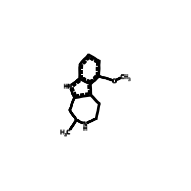 COc1cccc2[nH]c3c(c12)CCNC(C)C3